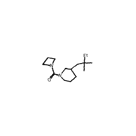 CCC(C)(C)CC1CCCN(C(=O)N2CCC2)C1